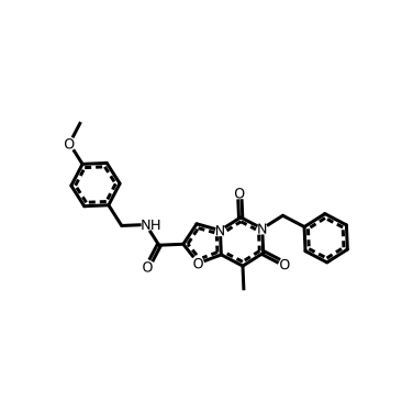 COc1ccc(CNC(=O)c2cn3c(=O)n(Cc4ccccc4)c(=O)c(C)c3o2)cc1